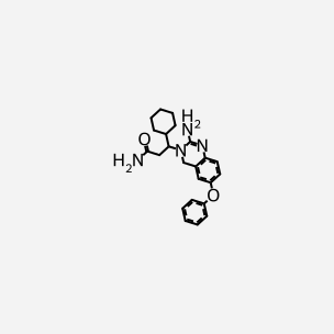 NC(=O)CC(C1CCCCC1)N1Cc2cc(Oc3ccccc3)ccc2N=C1N